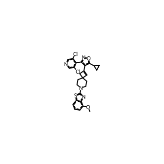 COc1cccc2sc(N3CCC4(C=C(c5c(-c6c(Cl)cncc6Cl)noc5C5CC5)C4)CC3)nc12